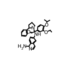 CCOc1cc(C(C=O)(Nc2ccc3c(N)nccc3c2)N2CCCC2c2ccccc2)ccc1OC(C)C